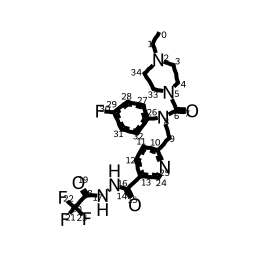 CCN1CCN(C(=O)N(Cc2ccc(C(=O)NNC(=O)C(F)(F)F)cn2)c2ccc(F)cc2)CC1